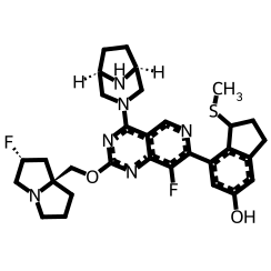 CSC1CCc2cc(O)cc(-c3ncc4c(N5C[C@H]6CC[C@@H](C5)N6)nc(OC[C@@]56CCCN5C[C@H](F)C6)nc4c3F)c21